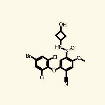 COc1cc(C#N)c(Oc2c(Cl)cc(Br)cc2Cl)cc1[S+]([O-])NC1CC(O)C1